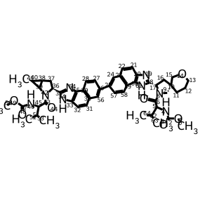 COC(=O)NC(C(=O)N1C[C@]2(CCCOC2)C[C@H]1c1nc2ccc3cc(-c4ccc5c(ccc6[nH]c([C@@H]7CC8C([C@@H]8C)N7C(=O)C(NC(=O)OC)C(C)C)nc65)c4)ccc3c2[nH]1)C(C)C